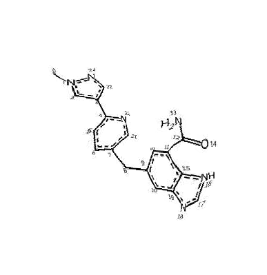 Cn1cc(-c2ccc(Cc3cc(C(N)=O)c4[nH]cnc4c3)cn2)cn1